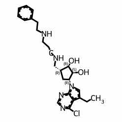 CCc1cn([C@@H]2C[C@H](CNCCCNCCc3ccccc3)[C@@H](O)[C@H]2O)c2ncnc(Cl)c12